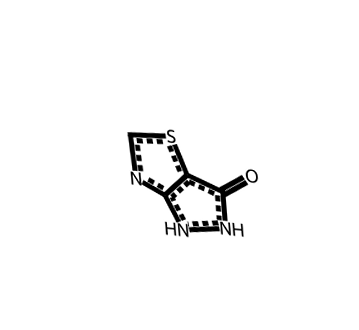 O=c1[nH][nH]c2ncsc12